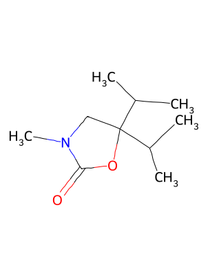 CC(C)C1(C(C)C)CN(C)C(=O)O1